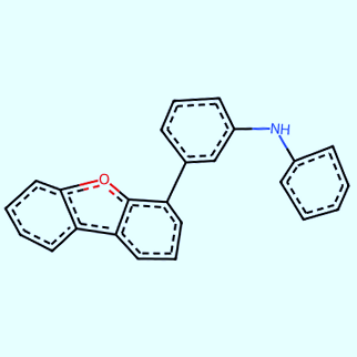 c1ccc(Nc2cccc(-c3cccc4c3oc3ccccc34)c2)cc1